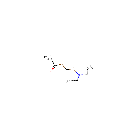 CCN(CC)SCSC(C)=O